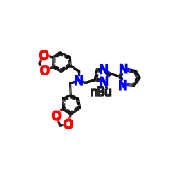 CCCCn1c(CN(Cc2ccc3c(c2)OCO3)Cc2ccc3c(c2)OCO3)cnc1-c1ncccn1